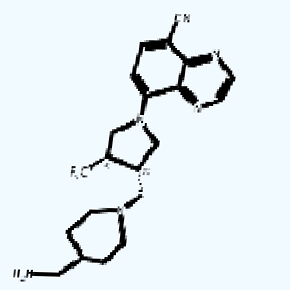 N#Cc1ccc(N2C[C@H](CN3CCC(CN)CC3)[C@@H](C(F)(F)F)C2)c2nccnc12